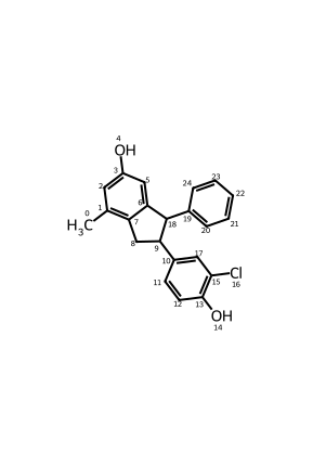 Cc1cc(O)cc2c1CC(c1ccc(O)c(Cl)c1)C2c1ccccc1